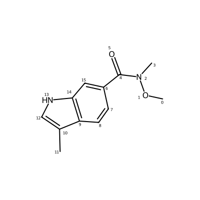 CON(C)C(=O)c1ccc2c(C)c[nH]c2c1